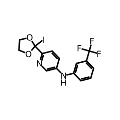 FC(F)(F)c1cccc(Nc2ccc(C3(I)OCCO3)nc2)c1